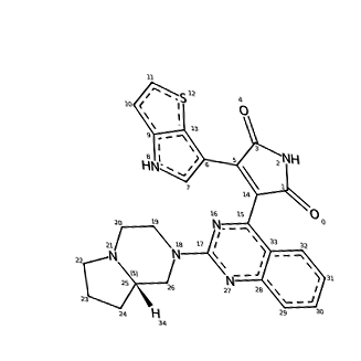 O=C1NC(=O)C(c2c[nH]c3ccsc23)=C1c1nc(N2CCN3CCC[C@H]3C2)nc2ccccc12